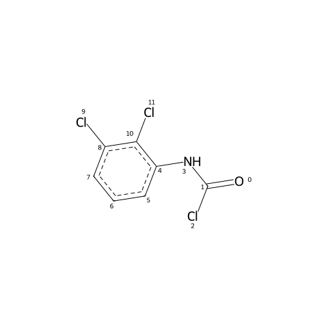 O=C(Cl)Nc1cccc(Cl)c1Cl